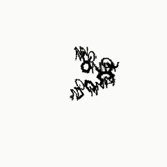 CCC(=O)c1cnc(Nc2ccc(O[C@@H]3CCN(C)C3)cn2)cc1Nc1cccc(-c2ncn(C)n2)c1OC